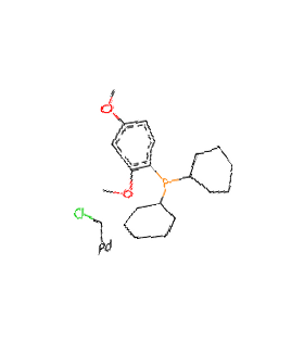 COc1ccc(P(C2CCCCC2)C2CCCCC2)c(OC)c1.Cl[CH2][Pd]